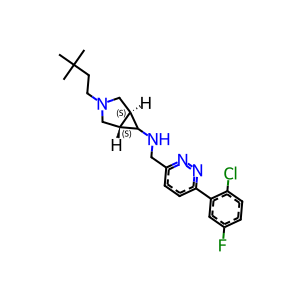 CC(C)(C)CCN1C[C@H]2C(NCc3ccc(-c4cc(F)ccc4Cl)nn3)[C@@H]2C1